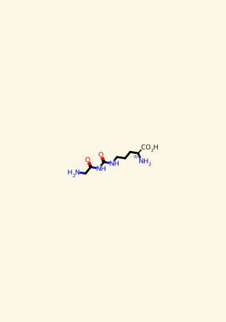 NCC(=O)NC(=O)NCCC[C@H](N)C(=O)O